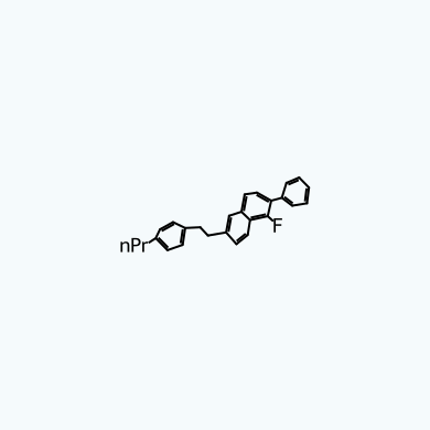 CCCc1ccc(CCc2ccc3c(F)c(-c4ccccc4)ccc3c2)cc1